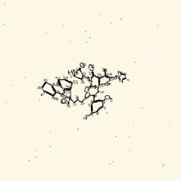 COc1ccc(F)cc1[C@H](Cn1c(=O)n([C@H]2CCNC2=O)c(=O)c2c(C)c(-n3nccn3)sc21)OCCCC(C)(C)[Si](O)(c1ccccc1)c1ccccc1